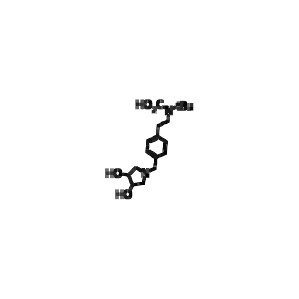 CC(C)(C)N(CCc1ccc(CN2CC(O)C(O)C2)cc1)C(=O)O